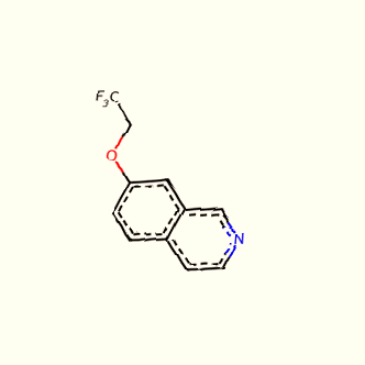 FC(F)(F)COc1ccc2ccncc2c1